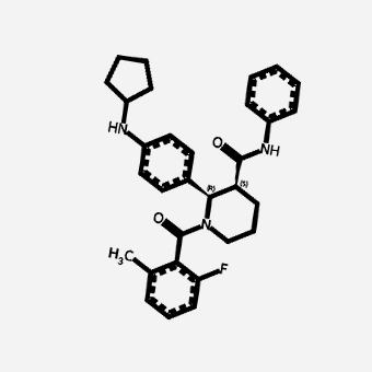 Cc1cccc(F)c1C(=O)N1CCC[C@H](C(=O)Nc2ccccc2)[C@@H]1c1ccc(NC2CCCC2)cc1